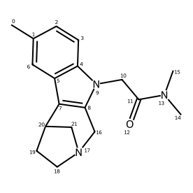 Cc1ccc2c(c1)c1c(n2CC(=O)N(C)C)CN2CCC1C2